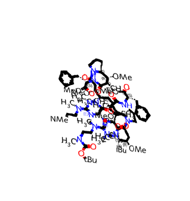 CC[C@H](CCC(C)[C@H](/N=C(\N(C)C)N(C)CCN(C)C(=O)OC(C)(C)C)C(=O)N(C)[C@@H]([C@@H](C)CC)[C@@H](CC(=O)N1CCC[C@H]1[C@H](OC)[C@@H](C)C(=O)N[C@@H](Cc1ccccc1)C(=O)OC)OC)[C@@H]([C@@H](CC(=O)N1CCC[C@H]1[C@H](OC)[C@@H](C)C(=O)N[C@@H](Cc1ccccc1)C(=O)OC)OC)N(C)C(=O)[C@@H](/N=C(\N(C)C)N(C)CCNC)C(C)C